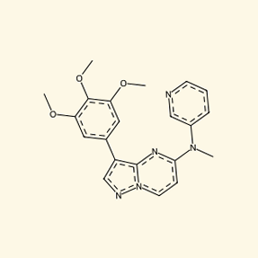 COc1cc(-c2cnn3ccc(N(C)c4cccnc4)nc23)cc(OC)c1OC